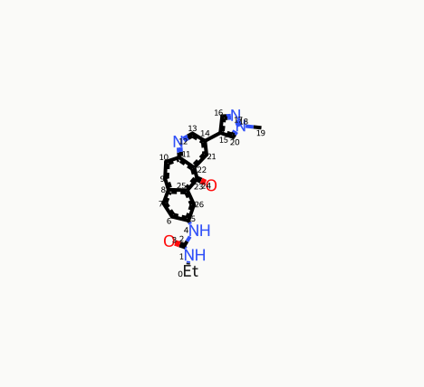 CCNC(=O)Nc1ccc2ccc3ncc(-c4cnn(C)c4)cc3c(=O)c2c1